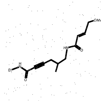 CCNC(=O)C#CCC(C)CNC(=O)/C=C/COC